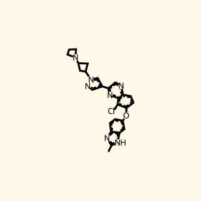 Cc1nc2ccc(Oc3ccc4ncc(-c5cnn(C6CC(N7CCC7)C6)c5)nc4c3Cl)cc2[nH]1